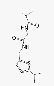 CC(C)C(=O)NCC(=O)NCc1ccc(C(C)C)s1